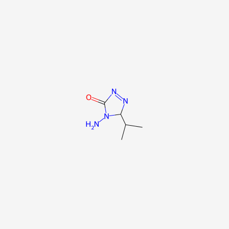 CC(C)C1N=NC(=O)N1N